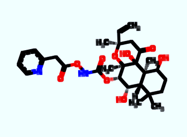 C=C[C@@]1(C)CC(=O)[C@]2(O)[C@@]3(C)[C@@H](O)CCC(C)(C)[C@@H]3[C@H](O)[C@H](OC(=O)NOC(=O)Cc3ccccn3)[C@@]2(C)O1